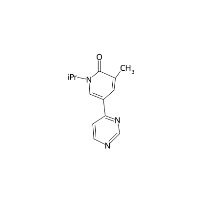 Cc1cc(-c2ccncn2)cn(C(C)C)c1=O